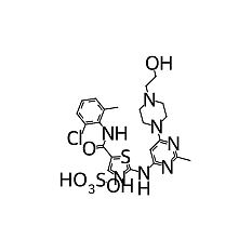 Cc1nc(Nc2ncc(C(=O)Nc3c(C)cccc3Cl)s2)cc(N2CCN(CCO)CC2)n1.O=S(=O)(O)O